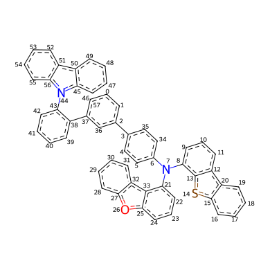 c1cc(-c2ccc(N(c3cccc4c3sc3ccccc34)c3cccc4oc5ccccc5c34)cc2)cc(-c2ccccc2-n2c3ccccc3c3ccccc32)c1